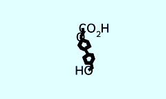 O=C(O)COc1ccc(-c2ccc(CO)cc2)cc1